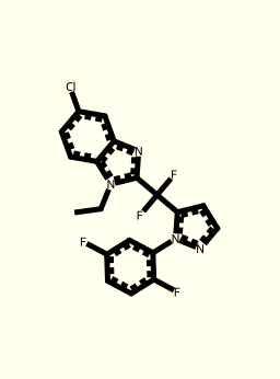 CCn1c(C(F)(F)c2ccnn2-c2cc(F)ccc2F)nc2cc(Cl)ccc21